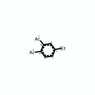 CCc1ccc(C(C)=O)c(C(C)=O)c1